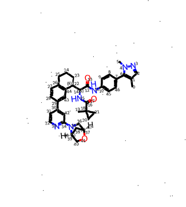 Cc1cnn(C)c1-c1ccc(NC(=O)[C@@H](NC(=O)C2(C)CC2)[C@@H]2CCCc3ccc(-c4ccnc(N5C[C@@H]6C[C@H]5CO6)c4)cc32)cc1